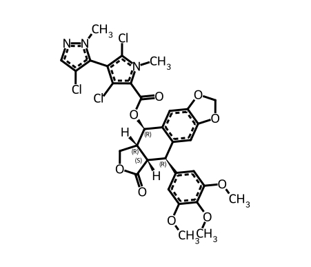 COc1cc([C@@H]2c3cc4c(cc3[C@H](OC(=O)c3c(Cl)c(-c5c(Cl)cnn5C)c(Cl)n3C)[C@H]3COC(=O)[C@@H]23)OCO4)cc(OC)c1OC